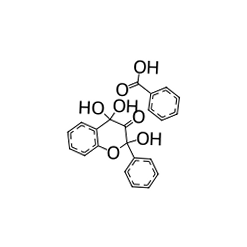 O=C(O)c1ccccc1.O=C1C(O)(O)c2ccccc2OC1(O)c1ccccc1